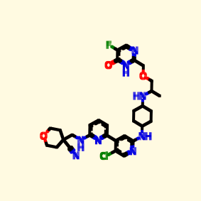 CC(COCc1ncc(F)c(=O)[nH]1)NC1CCC(Nc2cc(-c3cccc(NCC4(C#N)CCOCC4)n3)c(Cl)cn2)CC1